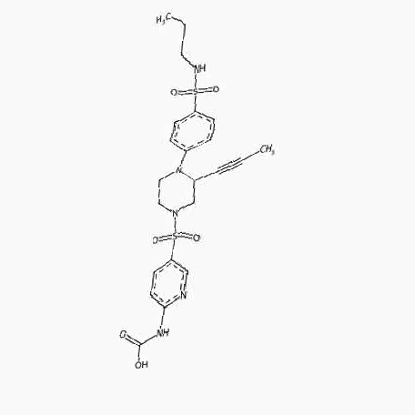 CC#CC1CN(S(=O)(=O)c2ccc(NC(=O)O)nc2)CCN1c1ccc(S(=O)(=O)NCCC)cc1